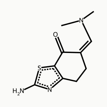 CN(C)/C=C1/CCc2nc(N)sc2C1=O